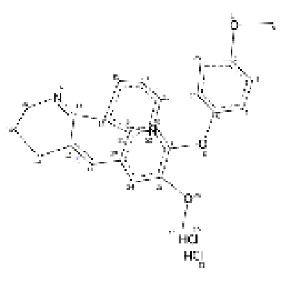 COc1ccc(Oc2ccc(/C=C3/CCCN=C3c3cccnc3)cc2OC)cc1.Cl.Cl